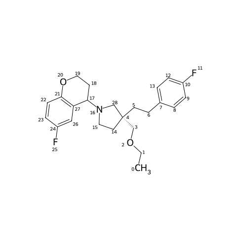 CCOC[C@]1(CCc2ccc(F)cc2)CCN(C2CCOc3ccc(F)cc32)C1